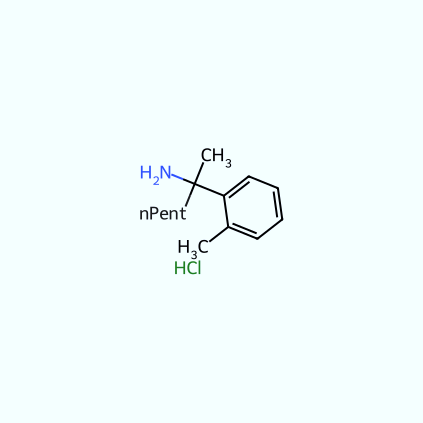 CCCCCC(C)(N)c1ccccc1C.Cl